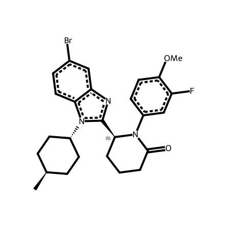 COc1ccc(N2C(=O)CCC[C@H]2c2nc3cc(Br)ccc3n2[C@H]2CC[C@H](C)CC2)cc1F